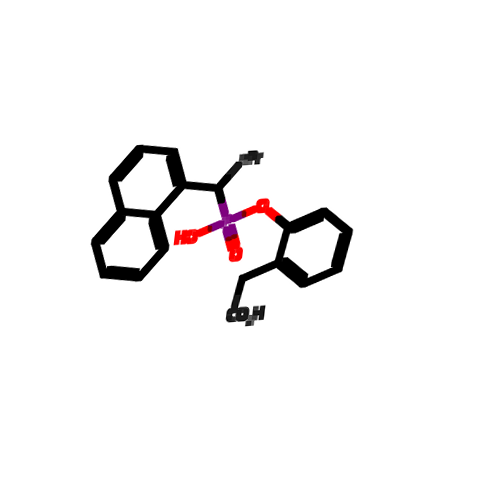 CCCC(c1cccc2ccccc12)P(=O)(O)Oc1ccccc1CC(=O)O